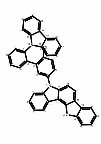 N#Cc1ccc(-n2c3ccccc3c3c4oc5ccccc5c4ccc32)cc1-c1ccccc1-n1c2ccccc2c2ccccc21